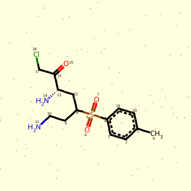 Cc1ccc(S(=O)(=O)C(CCN)C[C@H](N)C(=O)CCl)cc1